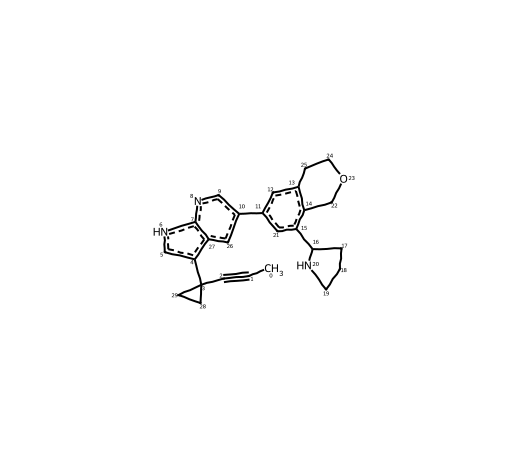 CC#CC1(c2c[nH]c3ncc(-c4cc5c(c(C6CCCN6)c4)COCC5)cc23)CC1